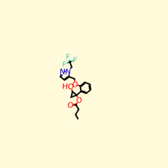 CCCC(=O)OC1(c2ccccc2OCc2ccnn2CC(F)(F)F)CC1O